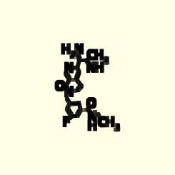 CCNC(=O)c1cc(F)cc(Cn2ccc3cc(/C(=C/N)C(C)=N)ncc3c2=O)c1